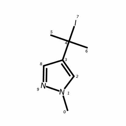 Cn1cc(C(C)(C)I)cn1